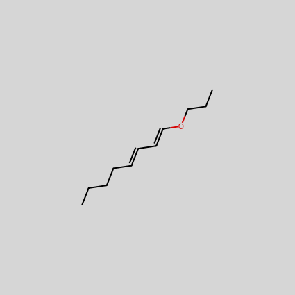 CCCCC=CC=COCCC